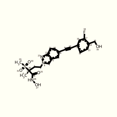 C[C@@](CCn1cc2cc(C#Cc3ccc(CO)c(F)c3)ccc2n1)(C(=O)NO)S(C)(=O)=O